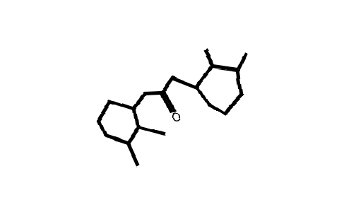 CC1CCCC(CC(=O)CC2CCCC(C)C2C)C1C